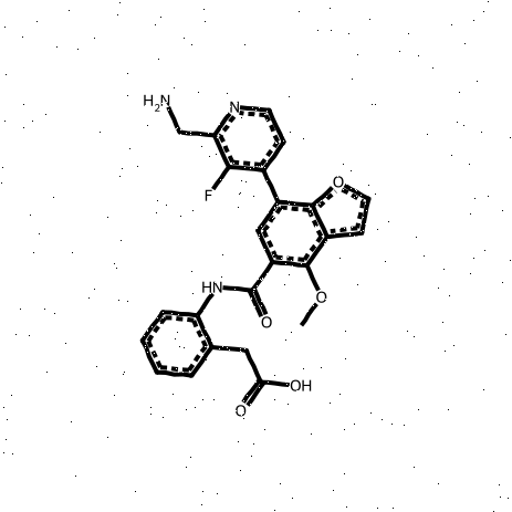 COc1c(C(=O)Nc2ccccc2CC(=O)O)cc(-c2ccnc(CN)c2F)c2occc12